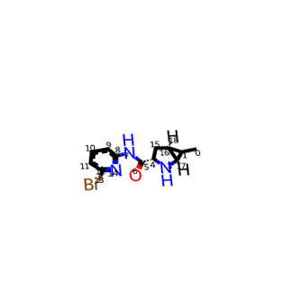 CC1[C@H]2N[C@H](C(=O)Nc3cccc(Br)n3)C[C@@H]12